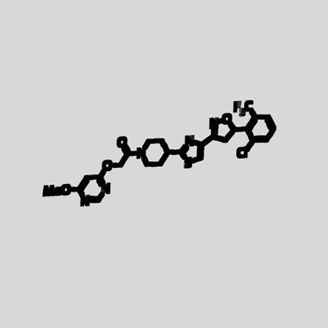 COc1cc(OCC(=O)N2CCC(c3nc(C4=NOC(c5c(Cl)cccc5C(F)(F)F)C4)cs3)CC2)ncn1